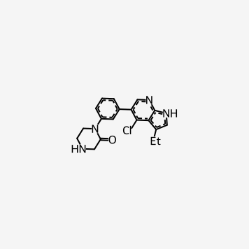 CCc1c[nH]c2ncc(-c3cccc(N4CCNCC4=O)c3)c(Cl)c12